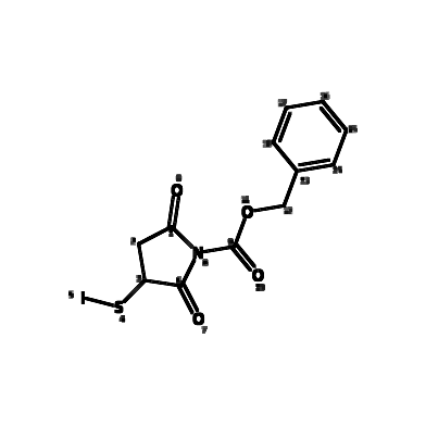 O=C1CC(SI)C(=O)N1C(=O)OCc1ccccc1